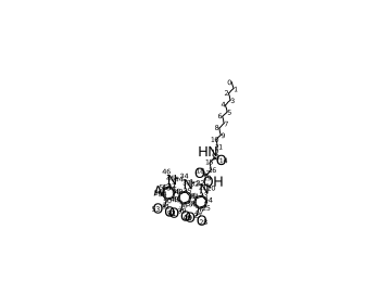 CCCCCCCCCCCCNC(=O)CCC(=O)O.CN(C)c1ccc(C(=O)[O-])cc1.CN(C)c1ccc(C(=O)[O-])cc1.CN(C)c1ccc(C(=O)[O-])cc1.[Al+3]